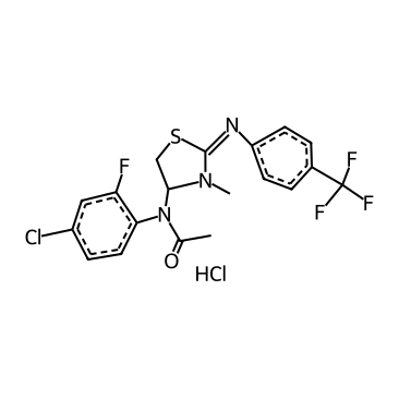 CC(=O)N(c1ccc(Cl)cc1F)C1CSC(=Nc2ccc(C(F)(F)F)cc2)N1C.Cl